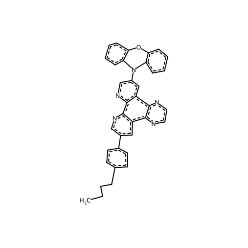 CCCCc1ccc(-c2cnc3c(c2)c2nccnc2c2cc(N4c5ccccc5Oc5ccccc54)cnc23)cc1